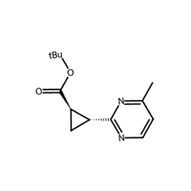 Cc1ccnc([C@@H]2C[C@H]2C(=O)OC(C)(C)C)n1